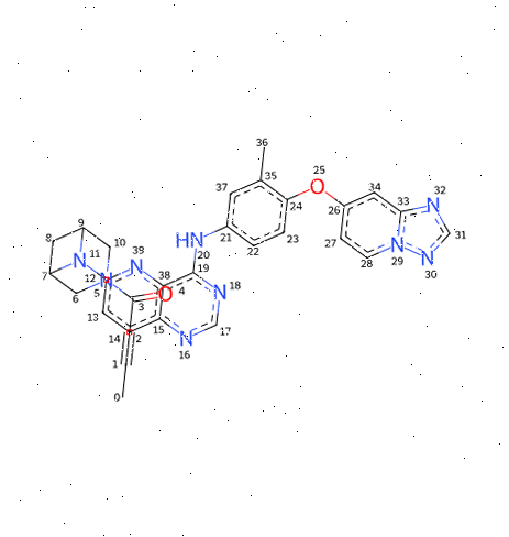 CC#CC(=O)N1CC2CC(C1)N2c1ccc2ncnc(Nc3ccc(Oc4ccn5ncnc5c4)c(C)c3)c2n1